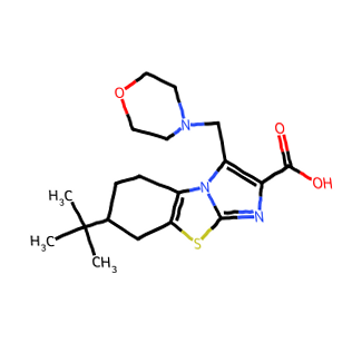 CC(C)(C)C1CCc2c(sc3nc(C(=O)O)c(CN4CCOCC4)n23)C1